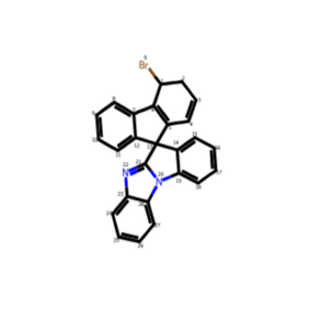 BrC1CC=CC2=C1c1ccccc1C21c2ccccc2-n2c1nc1ccccc12